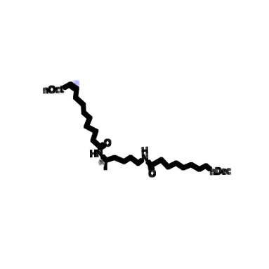 CCCCCCCC/C=C\CCCCCCCC(=O)N[C@H](C)CCCCNC(=O)CCCCCCCCCCCCCCCCC